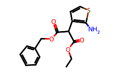 CCOC(=O)C(C(=O)OCc1ccccc1)c1ccsc1N